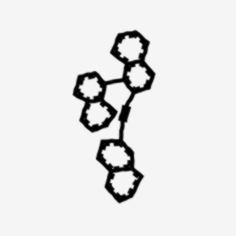 C(#Cc1ccc2ccccc2c1-c1cccc2ccccc12)c1ccc2ccccc2c1